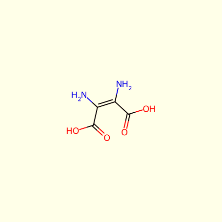 N/C(C(=O)O)=C(\N)C(=O)O